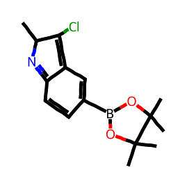 CC1N=c2ccc(B3OC(C)(C)C(C)(C)O3)cc2=C1Cl